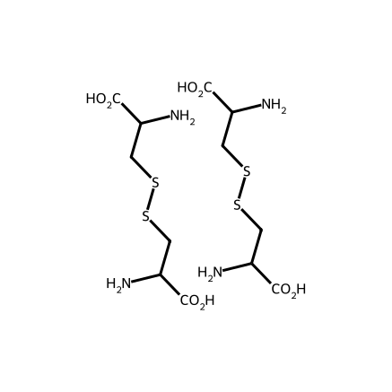 NC(CSSCC(N)C(=O)O)C(=O)O.NC(CSSCC(N)C(=O)O)C(=O)O